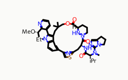 CCn1c(-c2cccnc2[C@H](C)OC)c2c3cc(ccc31)-c1csc(n1)C[C@H](NC(=O)[C@H](C(C)C)N(C)c1ncc3n1CCC3)C(=O)N1CCC[C@H](N1)C(=O)OCC(C)(C)C2